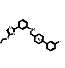 [CH2]c1cccc(C23CCC(CNc4cccc(-c5nc(OCC)co5)c4)(CC2)CO3)c1